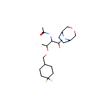 CC(=O)NC(C(C)OCC1CCC(F)(F)CC1)C(O)N1C2CCC1COC2